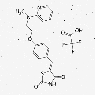 CN(CCOc1ccc(/C=C2\SC(=O)NC2=O)cc1)c1ccccn1.O=C(O)C(F)(F)F